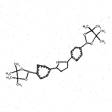 CC1(C)OB(c2ccc(C3CCC(c4ccc(B5OC(C)(C)C(C)(C)O5)cc4)N3)cc2)OC1(C)C